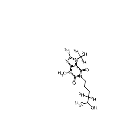 [2H]c1nc2c(c(=O)n(CCCC([2H])([2H])C(C)O)c(=O)n2C)n1C([2H])([2H])[2H]